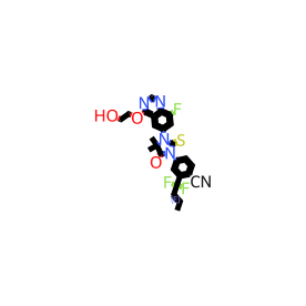 C/C=C/C(F)(F)c1cc(N2C(=O)C(C)(C)N(c3cc(F)c4ncnc(OCCO)c4c3)C2=S)ccc1C#N